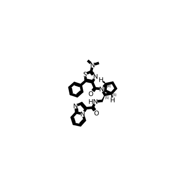 CN(C)c1nc(C(=O)N2[C@@H]3CC[C@@H](C3)[C@H]2CNC(=O)c2cnc3ccccn23)c(-c2ccccc2)s1